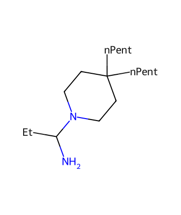 CCCCCC1(CCCCC)CCN(C(N)CC)CC1